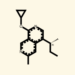 CC[C@@H](C)c1cnc(OC2CC2)c2cnc(C)cc12